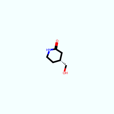 O=C1C[C@H](CO)CCN1